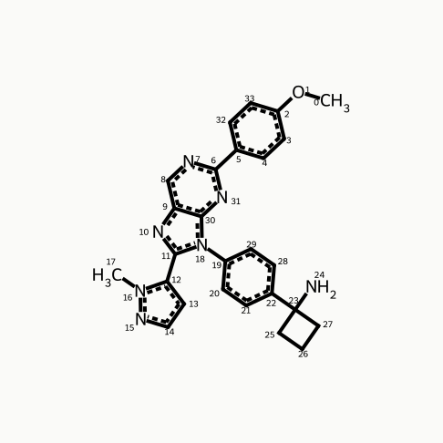 COc1ccc(-c2ncc3nc(-c4ccnn4C)n(-c4ccc(C5(N)CCC5)cc4)c3n2)cc1